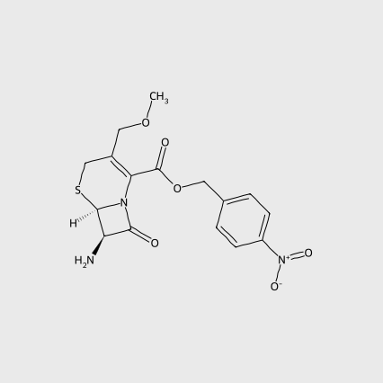 COCC1=C(C(=O)OCc2ccc([N+](=O)[O-])cc2)N2C(=O)[C@@H](N)[C@H]2SC1